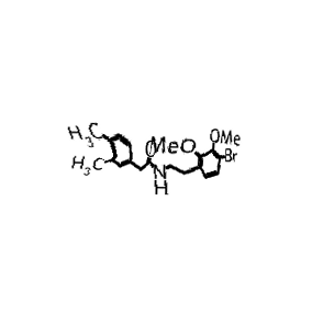 COc1c(Br)ccc(CCNC(=O)Cc2ccc(C)c(C)c2)c1OC